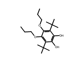 CCCOc1c(OCCC)c(C(C)(C)C)c(O)c(O)c1C(C)(C)C